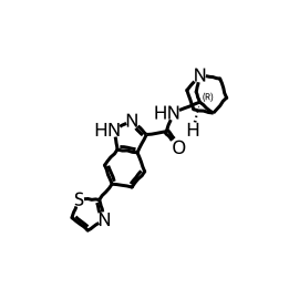 O=C(N[C@H]1CN2CCC1CC2)c1n[nH]c2cc(-c3nccs3)ccc12